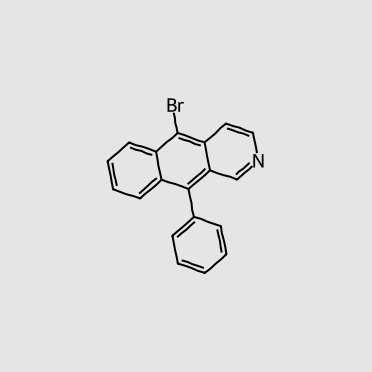 Brc1c2ccccc2c(-c2ccccc2)c2cnccc12